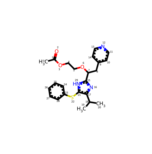 CC(=O)OCCOC(Cc1ccncc1)c1nc(C(C)C)c(Sc2ccccc2)[nH]1